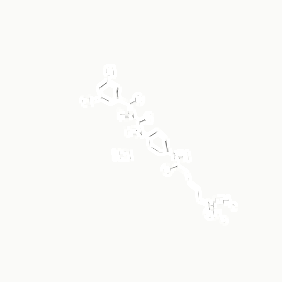 CN(C)CCCCC(=O)Nc1ccc(NC(=S)NC(=O)c2cc(Cl)cc(Cl)c2)cc1.Cl